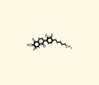 CCCCCCc1ccc(C2CCc3c(cc(F)c(O)c3F)C2=O)c(F)c1F